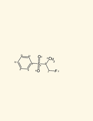 CC(CF)S(=O)(=O)c1ccccc1